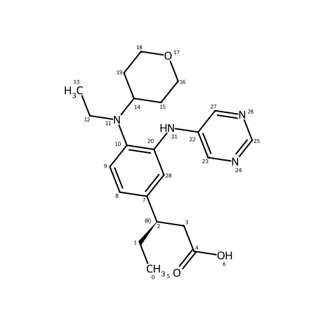 CC[C@H](CC(=O)O)c1ccc(N(CC)C2CCOCC2)c(Nc2cncnc2)c1